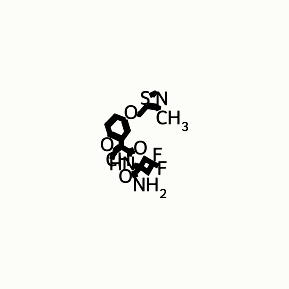 Cc1ncsc1COc1ccc2oc(C)c(C(=O)NC3(C(N)=O)CC(F)(F)C3)c2c1